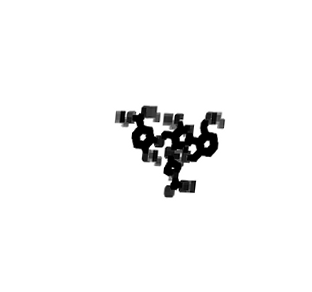 CCc1cccc(CC)c1-c1nc(C)c(COc2cc(C(C)C)ccc2C)c(OC2CN(C(=O)O)C2)n1